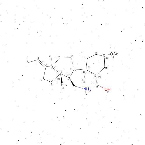 C/C=C1\CC[C@H]2[C@H](CN)[C@@H]([C@@]3(C)CC[C@H](OC(C)=O)C[C@@H]3CO)CC[C@]12C